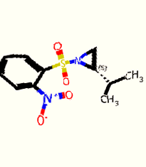 CC(C)[C@H]1CN1S(=O)(=O)c1ccccc1[N+](=O)[O-]